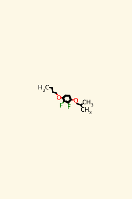 CCCCOc1ccc(OCC(C)C)c(F)c1F